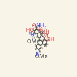 CO/N=C/c1ccc(OC)c(-c2ccc(O)c3c2CC2CC4C(N(C)C)C(O)=C(C(N)=O)C(=O)C4(O)C(O)=C2C3=O)c1